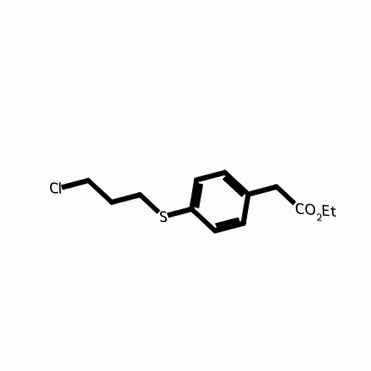 CCOC(=O)Cc1ccc(SCCCCl)cc1